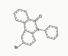 O=c1c2ccccc2c2cc(Br)ccc2n1-c1ccccc1